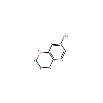 [CH2]CCc1ccc2c(c1)OCCC2